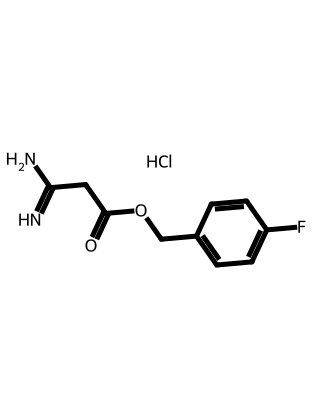 Cl.N=C(N)CC(=O)OCc1ccc(F)cc1